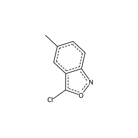 Cc1ccc2noc(Cl)c2c1